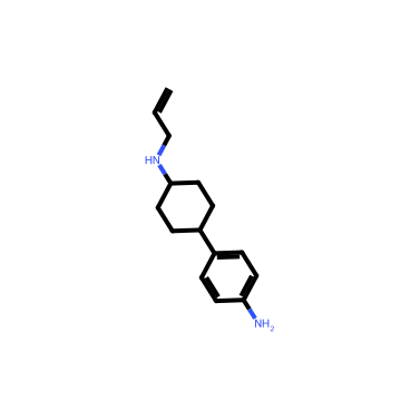 C=CCNC1CCC(c2ccc(N)cc2)CC1